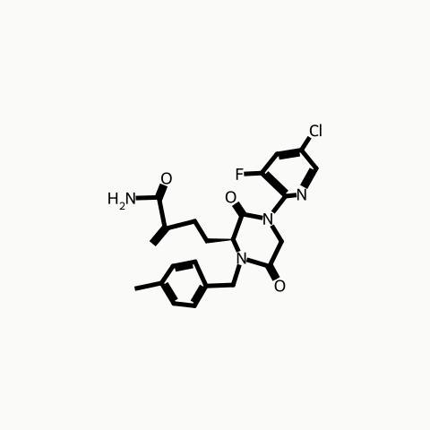 C=C(CC[C@H]1C(=O)N(c2ncc(Cl)cc2F)CC(=O)N1Cc1ccc(C)cc1)C(N)=O